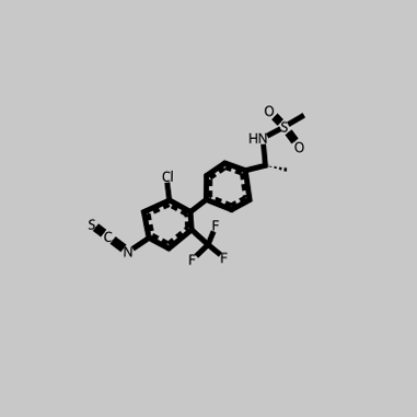 C[C@@H](NS(C)(=O)=O)c1ccc(-c2c(Cl)cc(N=C=S)cc2C(F)(F)F)cc1